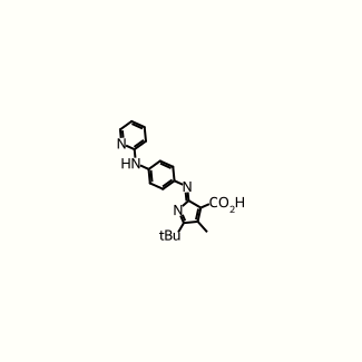 CC1=C(C(=O)O)C(=Nc2ccc(Nc3ccccn3)cc2)N=C1C(C)(C)C